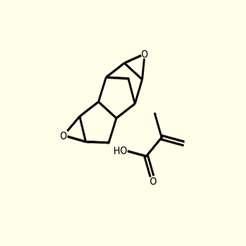 C1C2OC2C2C1C1CC2C2OC12.C=C(C)C(=O)O